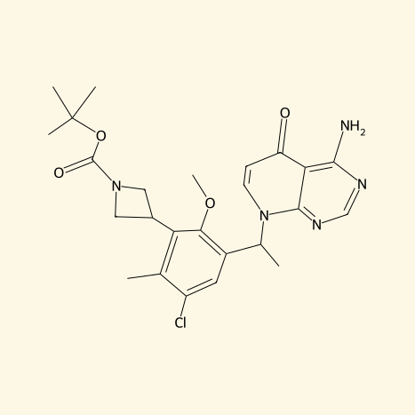 COc1c(C(C)n2ccc(=O)c3c(N)ncnc32)cc(Cl)c(C)c1C1CN(C(=O)OC(C)(C)C)C1